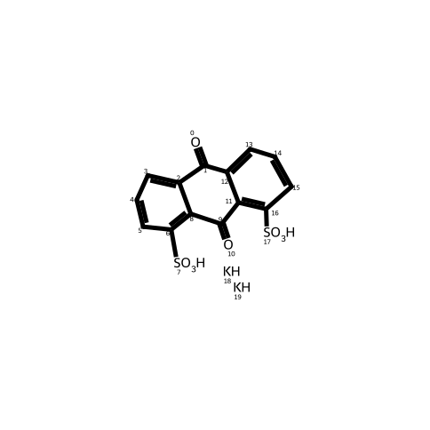 O=C1c2cccc(S(=O)(=O)O)c2C(=O)c2c1cccc2S(=O)(=O)O.[KH].[KH]